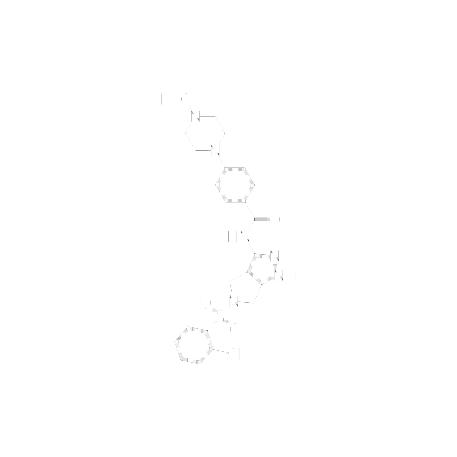 CN1CCN(c2ccc(C(=O)Nc3n[nH]c4c3CN(S(=O)(=O)c3ccccc3Cl)C4)cc2)CC1